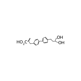 C=C(Cc1ccc(-c2ccc(CCC(CO)CO)cc2)cc1)C(=O)O